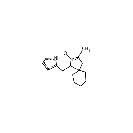 CC1=[N+]([O-])C(Cc2ccc[nH]2)C2(CCCCC2)C1